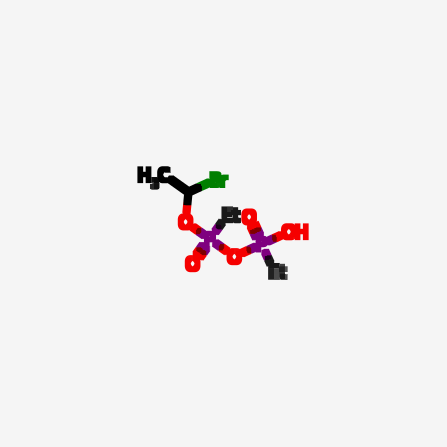 CCP(=O)(O)OP(=O)(CC)OC(C)Br